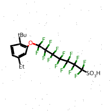 CCc1ccc(C(C)(C)C)c(OC(F)(F)C(F)(F)C(F)(F)C(F)(F)C(F)(F)C(F)(F)C(F)(F)S(=O)(=O)O)c1